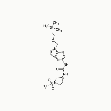 C[Si](C)(C)CCOCn1ccc2nc(NC(=O)N[C@H]3CCN(S(C)(=O)=O)C3)cnc21